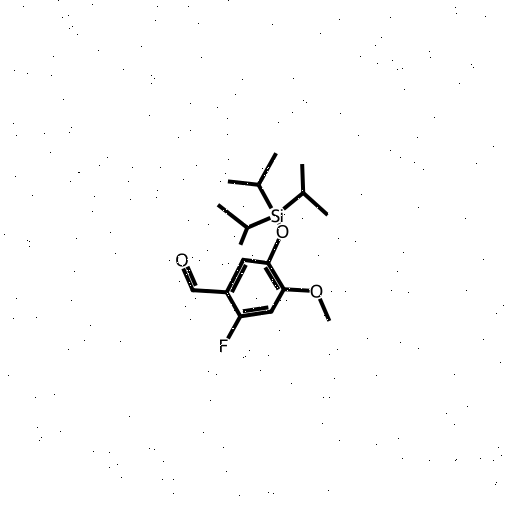 COc1cc(F)c(C=O)cc1O[Si](C(C)C)(C(C)C)C(C)C